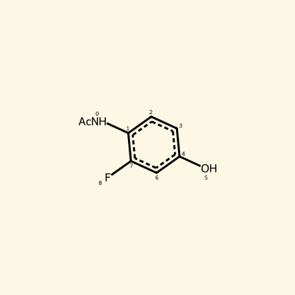 CC(=O)Nc1ccc(O)cc1F